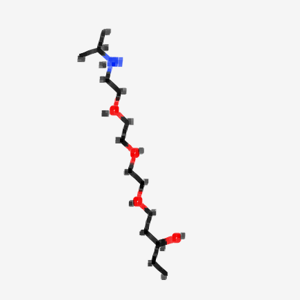 CCC(=O)CCOCCOCCOCCNC(C)C